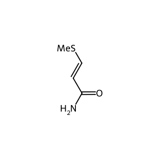 CSC=CC(N)=O